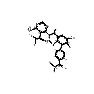 COc1c(C(C)Nc2ncnc(N)c2C(=N)C(F)F)cc(Cl)c(C)c1-c1ccc(C(=O)N(C)C)nc1